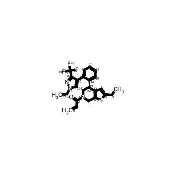 C=CC(=O)N1Cc2sc(CC)cc2[C@H](c2ccccc2-c2cn(CC)nc2C(F)(F)F)C1